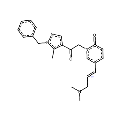 Cc1c(C(=O)Cn2cc(/C=C/CN(C)C)ccc2=O)cnn1Cc1ccccc1